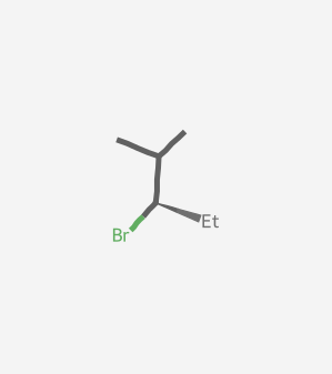 CC[C@@H](Br)C(C)C